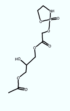 CC(=O)OCC(O)COC(=O)COP1(=O)NCCO1